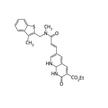 CCOC(=O)C1=CC2=CC(/C=C/C(=O)N(C)Cc3sc4ccccc4c3C)=CNC2NC1=O